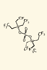 O=S(=O)(O[Si](CC(F)(F)F)(CC(F)(F)F)CC(F)(F)F)O[Si](CC(F)(F)F)(CC(F)(F)F)CC(F)(F)F